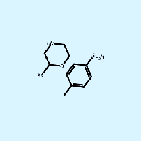 CCC1CNCCO1.Cc1ccc(S(=O)(=O)O)cc1